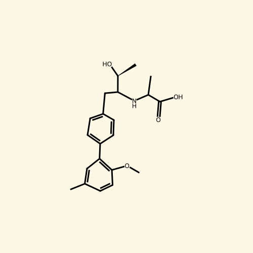 COc1ccc(C)cc1-c1ccc(CC(NC(C)C(=O)O)[C@H](C)O)cc1